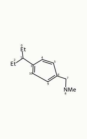 CCC(CC)c1ccc(CNC)cc1